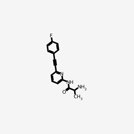 CC(N)C(=O)Nc1cccc(C#Cc2ccc(F)cc2)n1